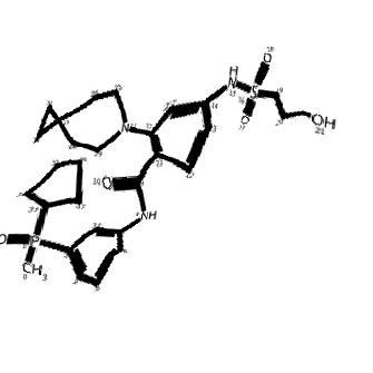 CP(=O)(c1cccc(NC(=O)c2ccc(NS(=O)(=O)CCO)cc2N2CCC3(CC2)CC3)c1)C1CCCC1